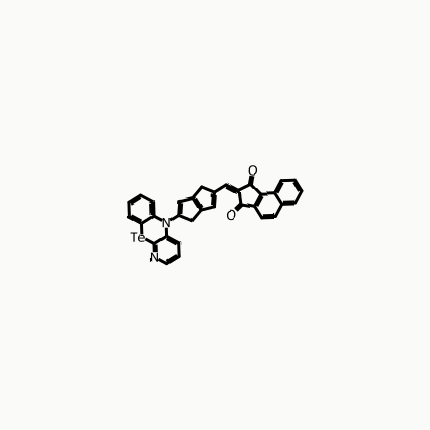 O=C1/C(=C\C2=CC3=C(C=C(N4c5ccccc5[Te]c5ncccc54)C3)C2)C(=O)c2c1ccc1ccccc21